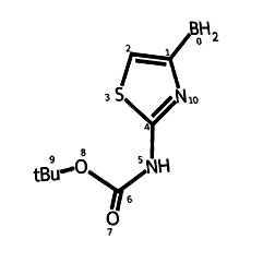 Bc1csc(NC(=O)OC(C)(C)C)n1